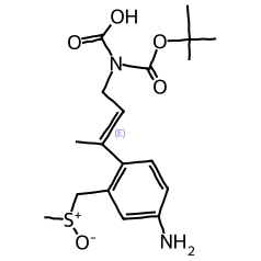 C/C(=C\CN(C(=O)O)C(=O)OC(C)(C)C)c1ccc(N)cc1C[S+](C)[O-]